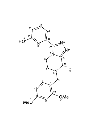 COc1ccc(CN2CCn3c(-c4cccc(O)n4)nnc3[C@@H]2C)c(OC)c1